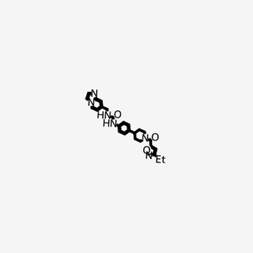 CCc1cc(C(=O)N2CCC(c3ccc(NC(=O)NCc4ccn5ccnc5c4)cc3)CC2)on1